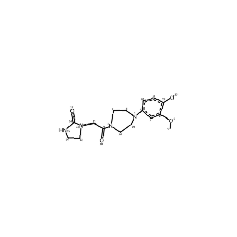 COc1cc(N2CCN(C(=O)CN3CCNC3=O)CC2)ccc1Cl